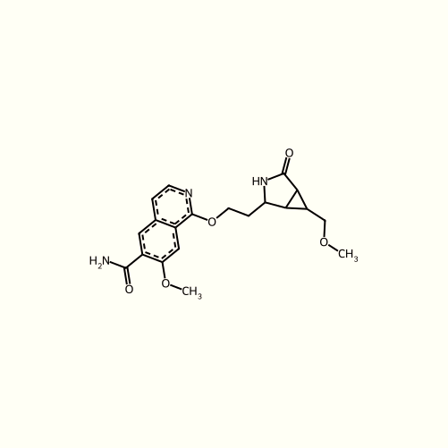 COCC1C2C(=O)NC(CCOc3nccc4cc(C(N)=O)c(OC)cc34)C12